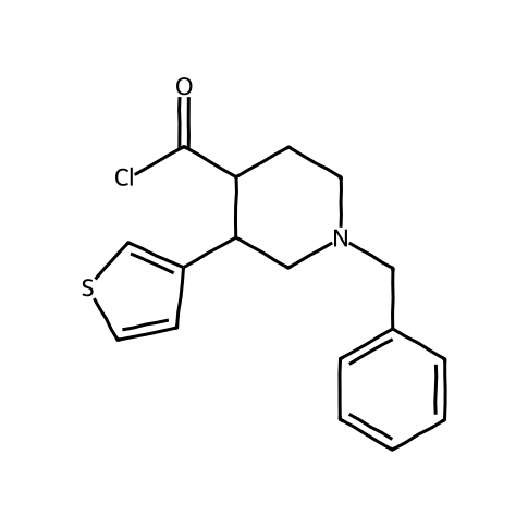 O=C(Cl)C1CCN(Cc2ccccc2)CC1c1ccsc1